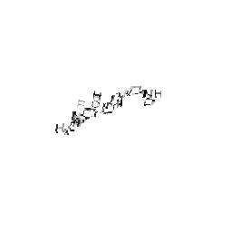 Cn1cc2cc(-c3ccc4nc(N5CC[C@@H](NC6CC6)C5)ccc4n3)c(O)c(F)c2n1